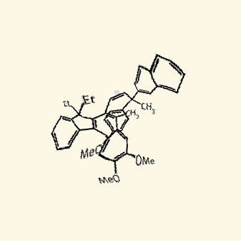 CCC1(CC)c2ccccc2-c2c1c(/C=C\C(C)(c1ccc(OC)cc1)c1ccc3ccccc3c1)c(C)c1cc(OC)c(OC)cc21